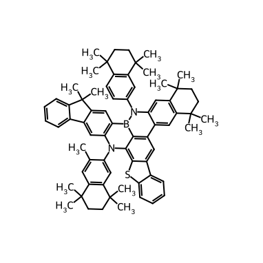 Cc1cc2c(cc1N1c3cc4c(cc3B3c5c(cc6c(sc7ccccc76)c51)-c1cc5c(cc1N3c1ccc3c(c1)C(C)(C)CCC3(C)C)C(C)(C)CCC5(C)C)C(C)(C)c1ccccc1-4)C(C)(C)CCC2(C)C